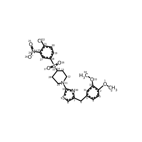 COc1ccc(Cc2csc(N3CCC(S(=O)(=O)c4ccc(Cl)c([N+](=O)[O-])c4)CC3)n2)cc1OC